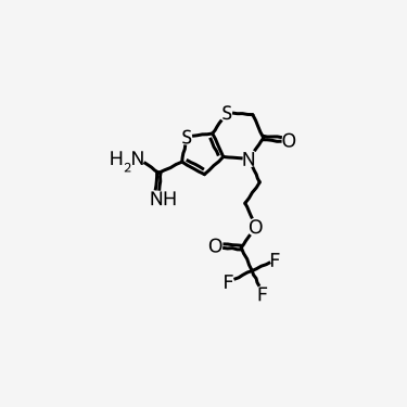 N=C(N)c1cc2c(s1)SCC(=O)N2CCOC(=O)C(F)(F)F